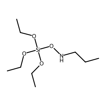 CCCNO[Si](OCC)(OCC)OCC